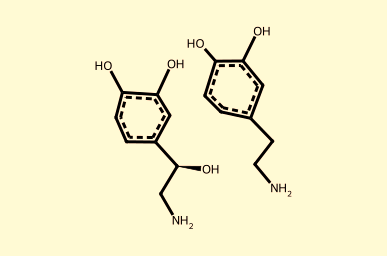 NCCc1ccc(O)c(O)c1.NC[C@H](O)c1ccc(O)c(O)c1